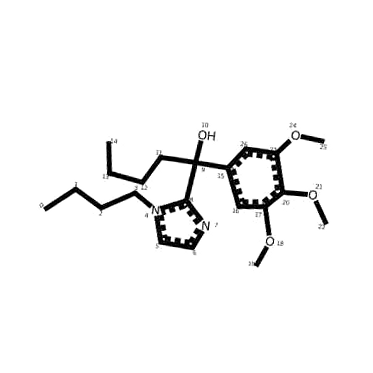 CCCCn1ccnc1C(O)(CCCC)c1cc(OC)c(OC)c(OC)c1